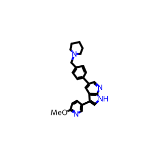 COc1ccc(-c2c[nH]c3ncc(-c4ccc(CN5CCCCC5)cc4)cc23)cn1